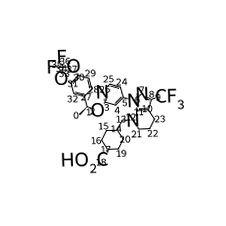 C[C@H](Oc1cc(-n2nc(C(F)(F)F)c3c2N(CC2CCC(C(=O)O)CC2)CCC3)ccn1)c1ccc2c(c1)OC(F)(F)O2